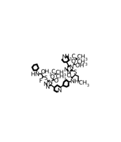 CCCC(Sc1nnc(-c2ccncc2)n1C(O)OC(C)(C)C)C(=O)Nc1ccc(-c2cc(-c3nnc(SC(F)C(=O)Nc4ccccc4)n3C(=O)OC(C)(C)C)ccn2)cc1